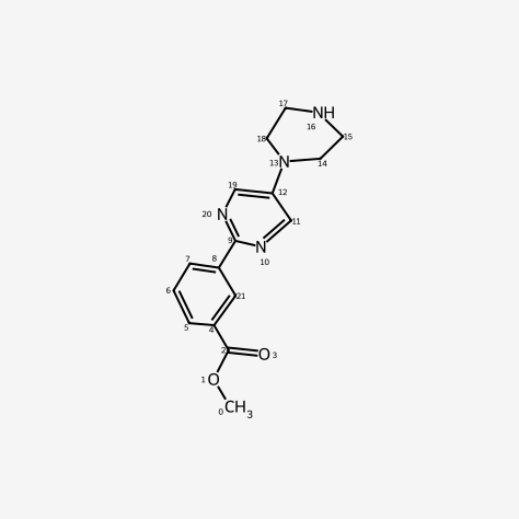 COC(=O)c1cccc(-c2ncc(N3CCNCC3)cn2)c1